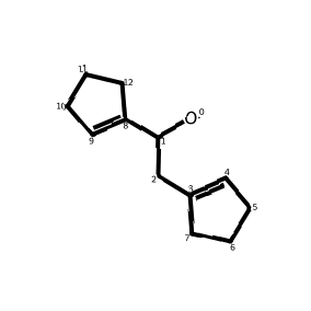 [O]C(CC1=CCCC1)C1=CCCC1